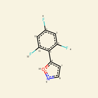 Fc1cc(F)c(-c2ccno2)c(F)c1